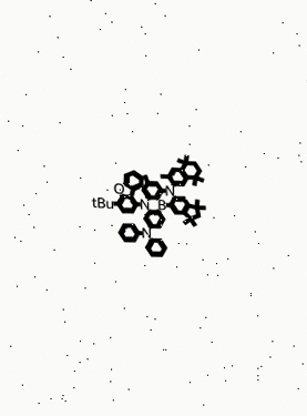 Cc1cc2c3c(c1)N(c1ccc(C(C)(C)C)c4oc5ccccc5c14)c1cc(N(c4ccccc4)c4ccccc4)ccc1B3c1cc3c(cc1N2c1cc2c(cc1C)C(C)(C)CCC2(C)C)C(C)(C)CC3(C)C